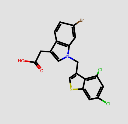 O=C(O)Cc1cn(Cc2csc3cc(Cl)cc(Cl)c23)c2cc(Br)ccc12